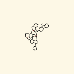 c1ccc(-c2ccc3c4c(cccc24)C2(c4ccccc4-c4cccc5cccc2c45)c2cc(N(c4ccc5c(c4)sc4ccccc45)c4cccc5ccccc45)ccc2-3)cc1